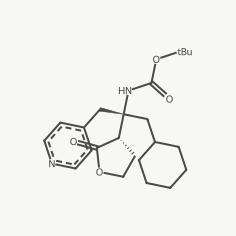 CC(C)(C)OC(=O)N[C@](Cc1ccncc1)(CC1CCCCC1)[C@@H]1CCOC1=O